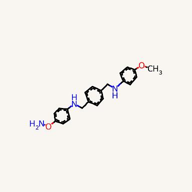 COc1ccc(NCc2ccc(CNc3ccc(ON)cc3)cc2)cc1